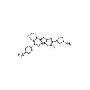 Cc1cn2nc([C@@H]3CCCCN3C(=O)c3ccc(N)cn3)cc2nc1N1CC[C@H](N)C1